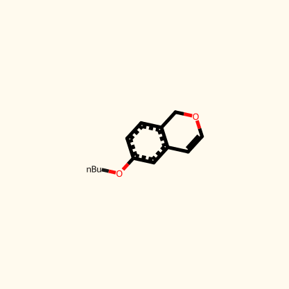 CCCCOc1ccc2c(c1)C=COC2